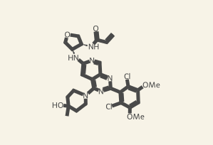 C=CC(=O)N[C@H]1COC[C@H]1Nc1cc2c(N3CCC(C)(O)CC3)nc(-c3c(Cl)c(OC)cc(OC)c3Cl)nc2cn1